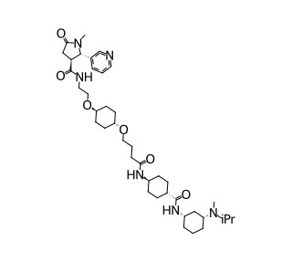 CC(C)N(C)[C@@H]1CCC[C@H](NC(=O)[C@H]2CC[C@H](NC(=O)CCCO[C@H]3CC[C@H](OCCNC(=O)[C@H]4CC(=O)N(C)[C@@H]4c4cccnc4)CC3)CC2)C1